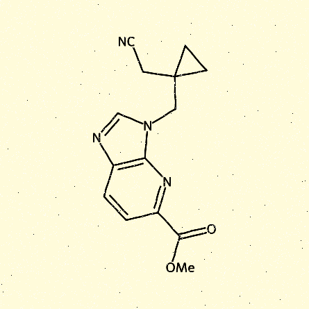 COC(=O)c1ccc2ncn(CC3(CC#N)CC3)c2n1